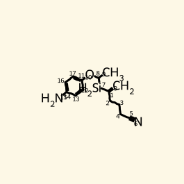 C=C(CCCC#N)[SiH2]C(C)Oc1ccc(N)cc1